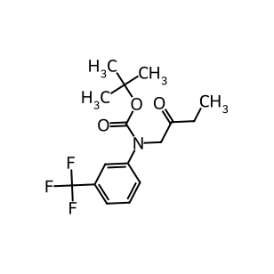 CCC(=O)CN(C(=O)OC(C)(C)C)c1cccc(C(F)(F)F)c1